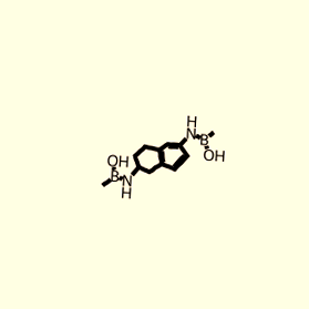 CB(O)Nc1ccc2c(c1)CCC(NB(C)O)C2